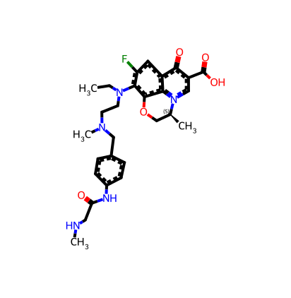 CCN(CCN(C)Cc1ccc(NC(=O)CNC)cc1)c1c(F)cc2c(=O)c(C(=O)O)cn3c2c1OC[C@@H]3C